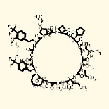 CCC[C@H]1C(=O)N[C@@H]([C@@H](C)CC)C(=O)N(C)CC(=O)N(C)[C@H]2C/C=C\CCN(C2=O)[C@@H](Cc2ccc(C(F)(F)F)cc2)C(=O)N(C)CC(=O)N[C@@H](CCc2ccc(C(F)(F)F)c(OC)c2)C(=O)N2C[C@H](OCC)C[C@H]2C(=O)NC2(CCC2)C(=O)N(C)[C@@H](C2CCCC2)C(=O)N(C)[C@H](C(=O)N(C)C)CC(=O)N1C